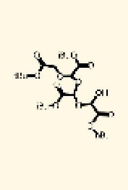 CCCCOC(=O)C(O)OC(OC(OCC(=O)OC(C)(C)C)C(=O)OCC(C)C)C(=O)OC(C)CC